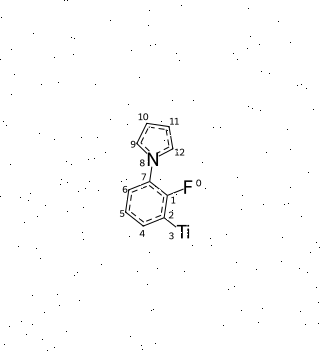 Fc1[c]([Ti])cccc1-n1cccc1